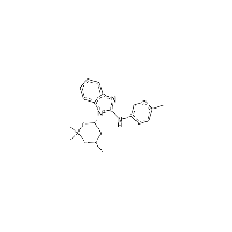 Cc1ccc(Nc2nc3ccccc3n2[C@@H]2CC(C)CC(C)(C)C2)cc1